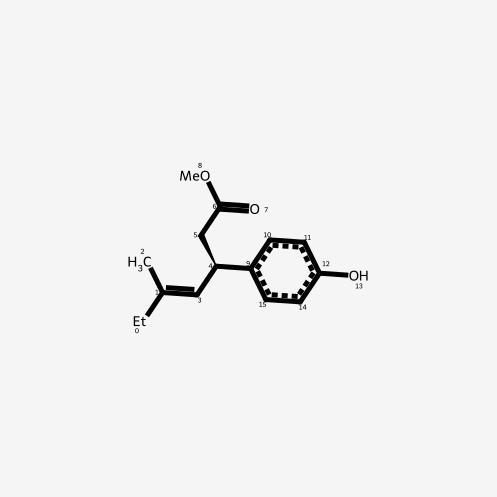 CC/C(C)=C/[C@@H](CC(=O)OC)c1ccc(O)cc1